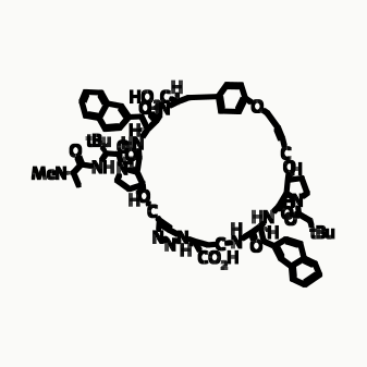 CN[C@@H](C)C(=O)N[C@H](C(=O)N1CC[C@H]2OCc3cn(nn3)[C@H](C(=O)O)CCNC(=O)[C@H](Cc3ccc4ccccc4c3)NC(=O)[C@@H]3[C@@H](CCN3C(=O)CC(C)(C)C)OC/C=C/COc3ccc(cc3)C[C@@H](C(=O)O)NC(=O)[C@H](Cc3ccc4ccccc4c3)NC(=O)[C@H]21)C(C)(C)C